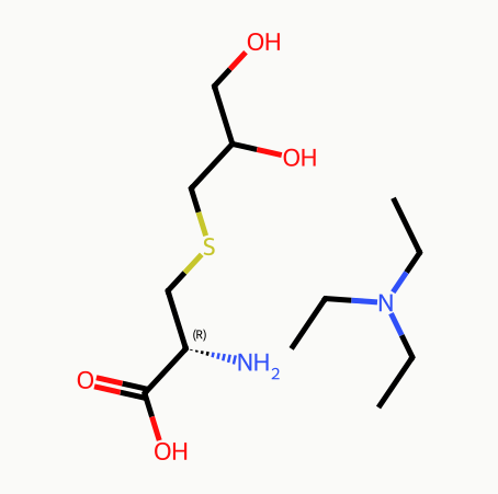 CCN(CC)CC.N[C@@H](CSCC(O)CO)C(=O)O